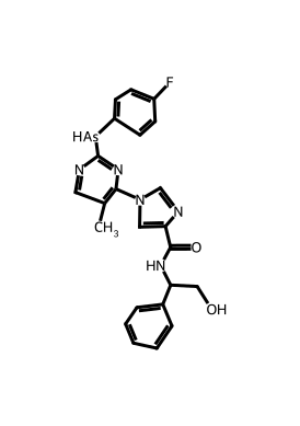 Cc1cnc([AsH]c2ccc(F)cc2)nc1-n1cnc(C(=O)NC(CO)c2ccccc2)c1